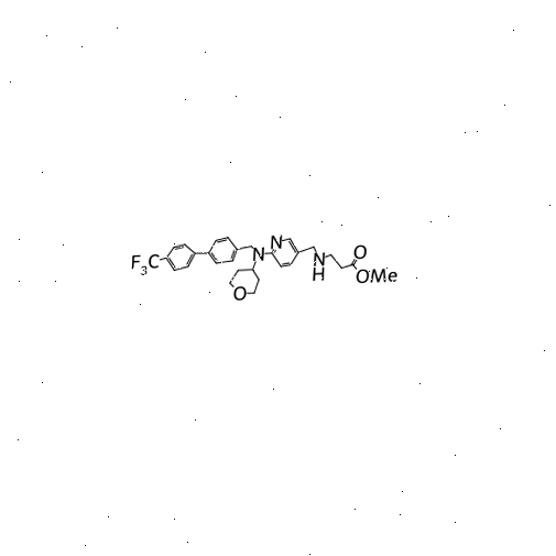 COC(=O)CCNCc1ccc(N(Cc2ccc(-c3ccc(C(F)(F)F)cc3)cc2)C2CCOCC2)nc1